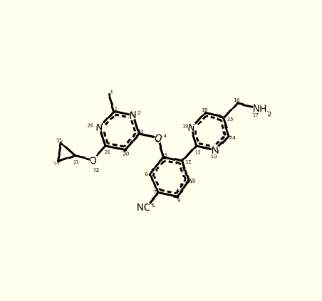 Cc1nc(Oc2cc(C#N)ccc2-c2ncc(CN)cn2)cc(OC2CC2)n1